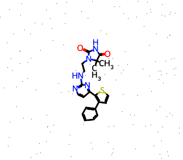 CC1(C)C(=O)NC(=O)N1CCNc1nccc(-c2sccc2-c2ccccc2)n1